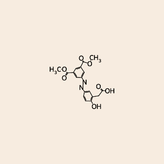 COC(=O)c1cc(N=Nc2ccc(O)c(CC(=O)O)c2)cc(C(=O)OC)c1